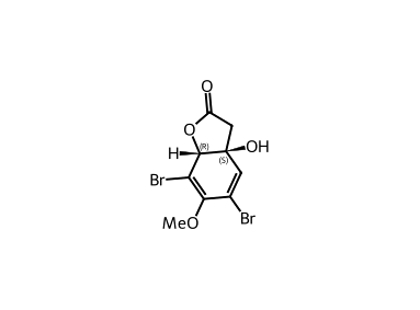 COC1=C(Br)[C@@H]2OC(=O)C[C@]2(O)C=C1Br